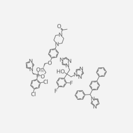 CC(=O)N1CCN(c2ccc(OC[C@H]3CO[C@](Cn4ccnc4)(c4ccc(Cl)cc4Cl)O3)cc2)CC1.OC(Cn1cncn1)(Cn1cncn1)c1ccc(F)cc1F.c1ccc(-c2ccc(C(c3ccccc3)n3ccnc3)cc2)cc1